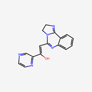 O/C(=C\C1=Nc2ccccc2C2=NCCN12)c1cnccn1